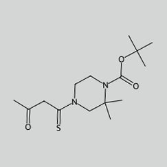 CC(=O)CC(=S)N1CCN(C(=O)OC(C)(C)C)C(C)(C)C1